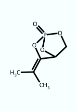 CC(C)=C1OP2(=O)OCC1O2